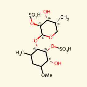 COC1CC(C)[C@H](O[C@@H]2OC[C@@H](C)[C@@H](O)[C@@H]2OS(=O)(=O)O)[C@H](OS(=O)(=O)O)[C@@H]1O